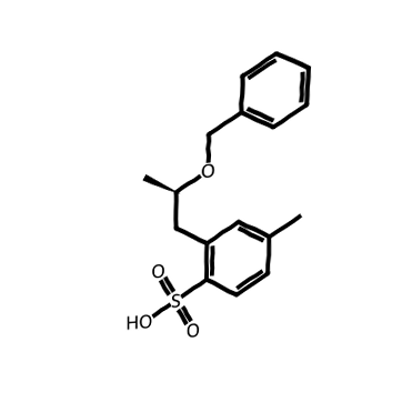 Cc1ccc(S(=O)(=O)O)c(C[C@@H](C)OCc2ccccc2)c1